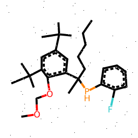 CCCCCC(C)(Pc1ccccc1F)c1cc(C(C)(C)C)cc(C(C)(C)C)c1OCOC